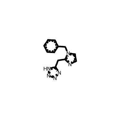 c1ccc(Cn2ccnc2Cc2nnn[nH]2)cc1